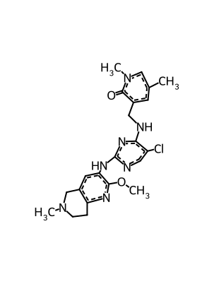 COc1nc2c(cc1Nc1ncc(Cl)c(NCc3cc(C)cn(C)c3=O)n1)CN(C)CC2